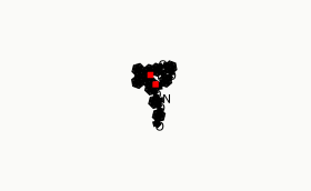 CC(=O)c1ccc(Oc2cccc(Oc3ccc4cc(C5(c6ccc7cc(Oc8cccc(Oc9ccc(C(C)=O)cc9)c8C#N)ccc7c6)c6ccccc6-c6ccccc65)ccc4c3)c2C#N)cc1